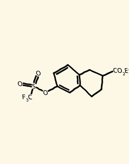 CCOC(=O)C1CCc2cc(OS(=O)(=O)C(F)(F)F)ccc2C1